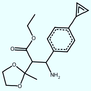 CCOC(=O)C(C(N)c1ccc(C2=C=C2)cc1)C1(C)OCCO1